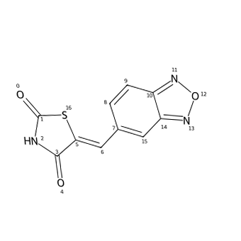 O=C1NC(=O)C(=Cc2ccc3nonc3c2)S1